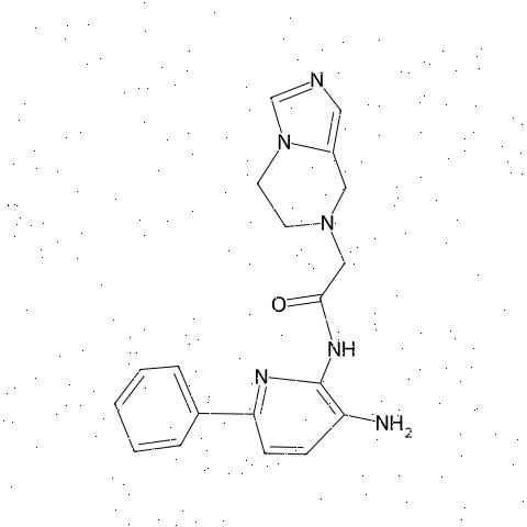 Nc1ccc(-c2ccccc2)nc1NC(=O)CN1CCn2cncc2C1